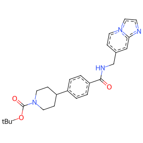 CC(C)(C)OC(=O)N1CCC(c2ccc(C(=O)NCc3ccn4ccnc4c3)cc2)CC1